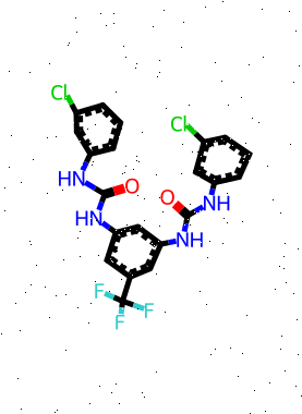 O=C(Nc1cccc(Cl)c1)Nc1cc(NC(=O)Nc2cccc(Cl)c2)cc(C(F)(F)F)c1